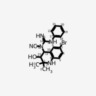 CC1(C)Nc2ccc(Br)cc2C(N(C#N)C(=N)Nc2ccccc2)C1O